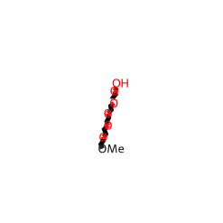 COCCOCCOCCOCCOCCOCO